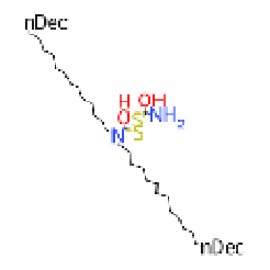 CCCCCCCCCCCCCCCCCCCCCCCN(CCCCCCCCCCCCCCCCCCCCCCC)C(O)=S.NC(O)=S